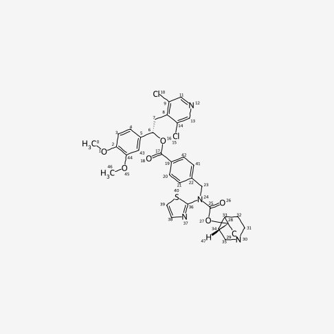 COc1ccc([C@H](Cc2c(Cl)cncc2Cl)OC(=O)c2ccc(CN(C(=O)O[C@H]3CN4CCC3CC4)c3nccs3)cc2)cc1OC